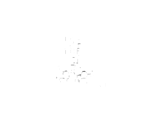 Cc1cn2cc(Nc3n[nH]c4cc(OC5CCNCC5)cc(Cl)c34)cc(F)c2n1.O=C(O)C(F)(F)F.O=C(O)C(F)(F)F